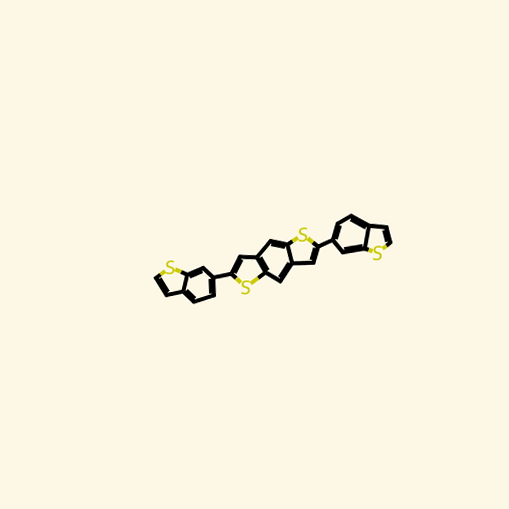 c1cc2ccc(-c3cc4cc5sc(-c6ccc7ccsc7c6)cc5cc4s3)cc2s1